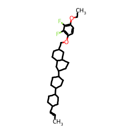 C/C=C/C1CCC(C2CCC(C3CCC4CC(COc5ccc(OCC)c(F)c5F)CCC4C3)CC2)CC1